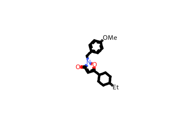 CCC1CCC(c2cc(=O)n(Cc3ccc(OC)cc3)o2)CC1